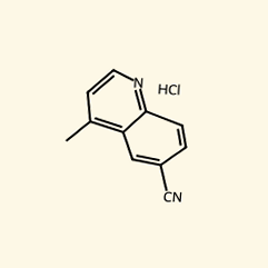 Cc1ccnc2ccc(C#N)cc12.Cl